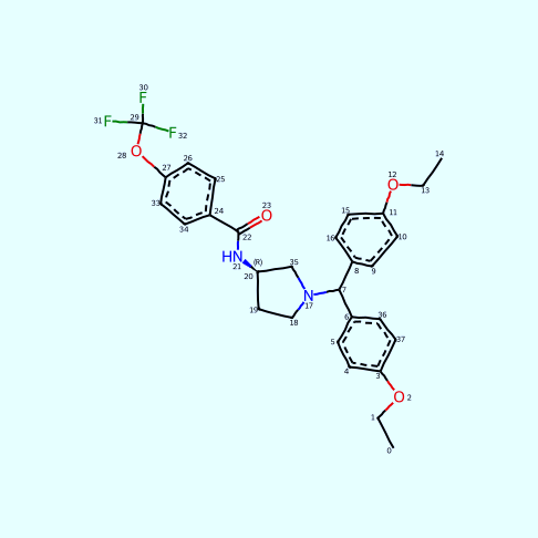 CCOc1ccc(C(c2ccc(OCC)cc2)N2CC[C@@H](NC(=O)c3ccc(OC(F)(F)F)cc3)C2)cc1